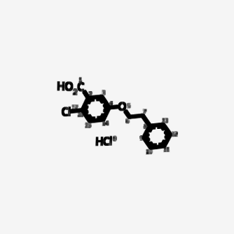 Cl.O=C(O)c1cc(OCCc2ccccc2)ccc1Cl